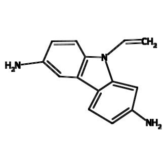 C=Cn1c2ccc(N)cc2c2ccc(N)cc21